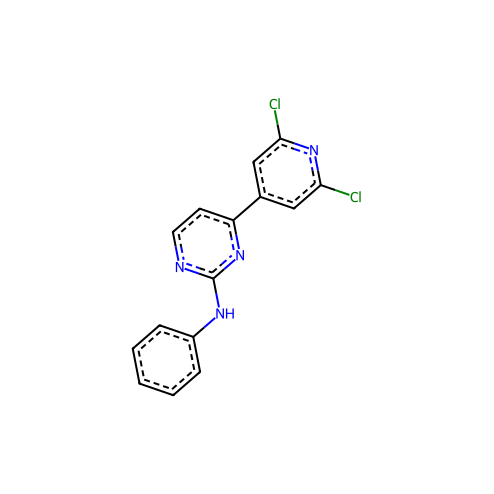 Clc1cc(-c2ccnc(Nc3ccccc3)n2)cc(Cl)n1